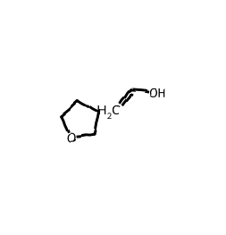 C1CCOC1.C=CO